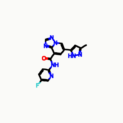 Cc1cc(-c2cc(C(=O)Nc3ccc(F)cn3)c3ncnn3c2)[nH]n1